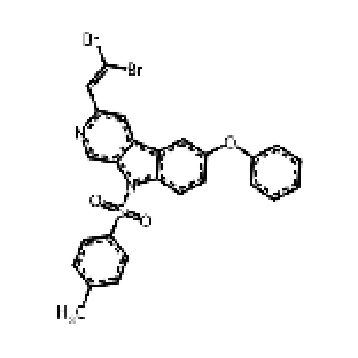 Cc1ccc(S(=O)(=O)n2c3ccc(Oc4ccccc4)cc3c3cc(C=C(Br)Br)ncc32)cc1